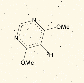 [2H]c1c(OC)ncnc1OC